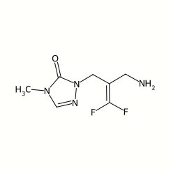 Cn1cnn(CC(CN)=C(F)F)c1=O